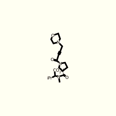 CC(C)C(C(=O)O)N(C)C(=O)[C@H]1CCN(C(=O)C#CCN2CCOCC2)C1